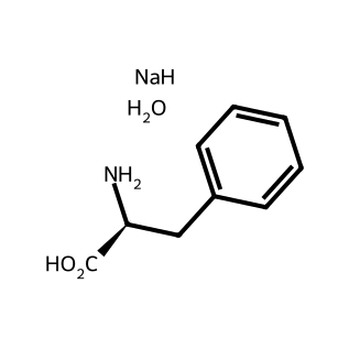 N[C@@H](Cc1ccccc1)C(=O)O.O.[NaH]